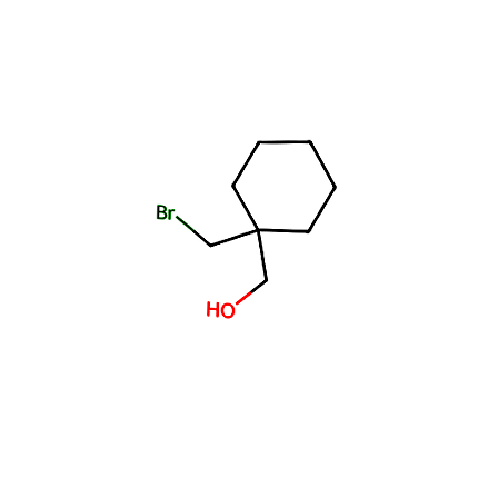 OCC1(CBr)CCCCC1